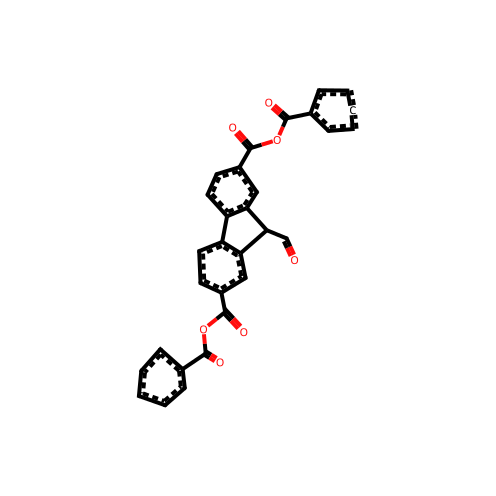 O=CC1c2cc(C(=O)OC(=O)c3ccccc3)ccc2-c2ccc(C(=O)OC(=O)c3ccccc3)cc21